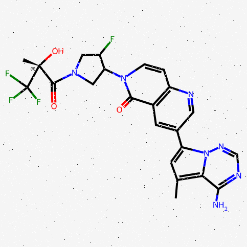 Cc1cc(-c2cnc3ccn(C4CN(C(=O)[C@@](C)(O)C(F)(F)F)CC4F)c(=O)c3c2)n2ncnc(N)c12